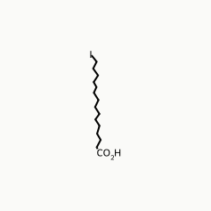 O=C(O)CCCCCCCCCCCCCCI